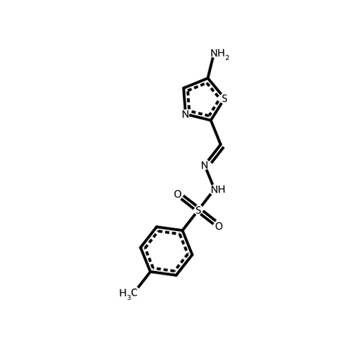 Cc1ccc(S(=O)(=O)N/N=C/c2ncc(N)s2)cc1